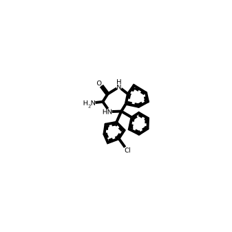 NC1NC(c2ccccc2)(c2cccc(Cl)c2)c2ccccc2NC1=O